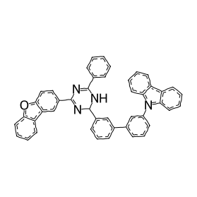 c1ccc(C2=NC(c3ccc4oc5ccccc5c4c3)=NC(c3cccc(-c4cccc(-n5c6ccccc6c6ccccc65)c4)c3)N2)cc1